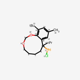 CCCC1(PCl)CCCCOCOc2c(C(C)(C)C)cc(C)cc21